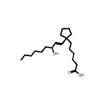 CCCCCCC(O)C=CC1(CCCCCC(=O)O)CCCC1